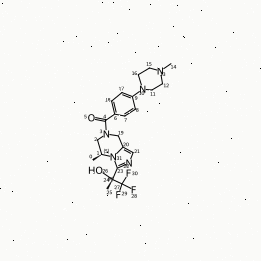 C[C@H]1CN(C(=O)c2ccc(N3CCN(C)CC3)cc2)Cc2cnc([C@@](C)(O)C(F)(F)F)n21